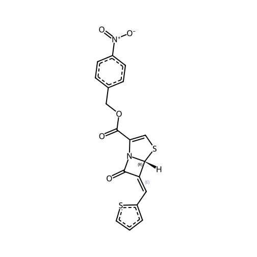 O=C(OCc1ccc([N+](=O)[O-])cc1)C1=CS[C@@H]2/C(=C/c3cccs3)C(=O)N12